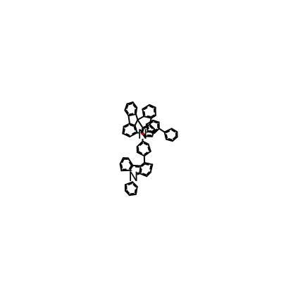 c1ccc(-c2cccc(N(c3ccc(-c4cccc5c4c4ccccc4n5-c4ccccc4)cc3)c3cccc4c3C3(c5ccccc5-c5ccccc53)c3ccccc3-4)c2)cc1